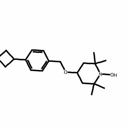 CC1(C)CC(OCc2ccc(C3CCC3)cc2)CC(C)(C)N1O